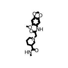 CNC(=O)C1CCCN(CC(=O)Nc2cc3c(cc2OC)OCO3)C1